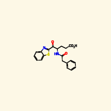 O=C(O)CCC(NC(=O)Cc1ccccc1)C(=O)c1nc2ccccc2s1